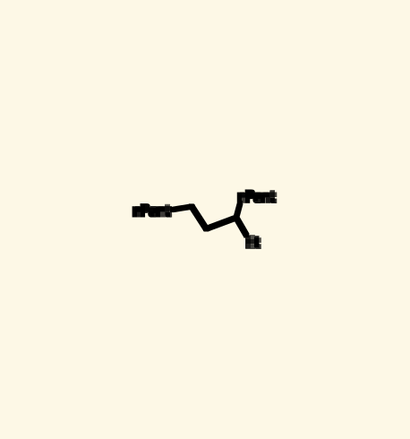 [CH2]CCCCCCC(CC)CCCCC